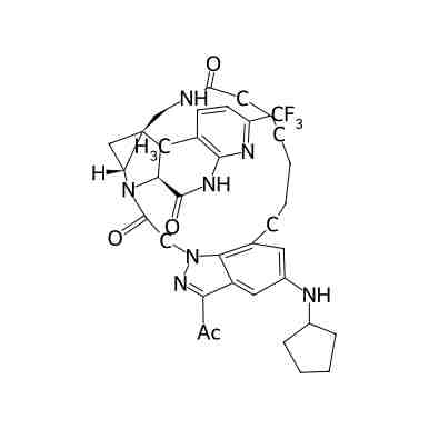 CC(=O)c1nn2c3c(cc(NC4CCCC4)cc13)CCCCCCC(=O)NC[C@@]13C[C@@H](C(=O)Nc4nc(C(F)(F)F)ccc4C)N(C(=O)C2)[C@@H]1C3